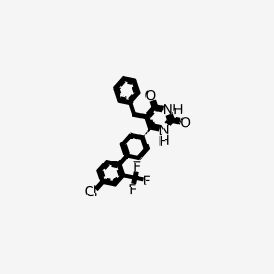 O=c1[nH]c([C@H]2CC=C(c3ccc(Cl)cc3C(F)(F)F)CC2)c(Cc2ccccc2)c(=O)[nH]1